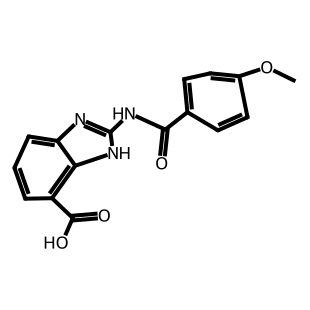 COc1ccc(C(=O)Nc2nc3cccc(C(=O)O)c3[nH]2)cc1